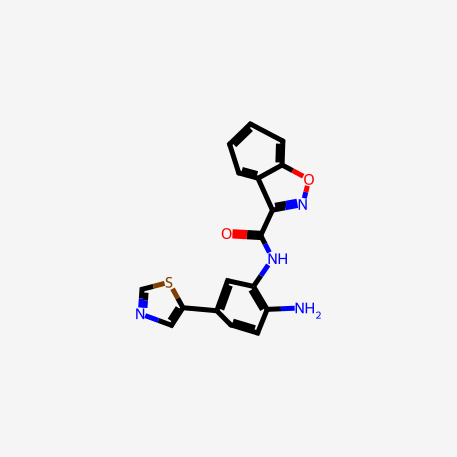 Nc1ccc(-c2cncs2)cc1NC(=O)c1noc2ccccc12